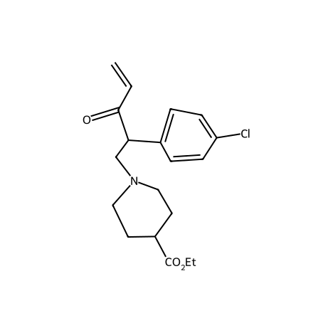 C=CC(=O)C(CN1CCC(C(=O)OCC)CC1)c1ccc(Cl)cc1